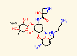 CN[C@@H]1[C@@H](O)[C@@H](O[C@@H]2[C@@H](O)[C@H](O[C@H]3OC(CNCCCN)=CC[C@H]3N)[C@@H](N)C[C@H]2NC(=O)C2(O)CNC2)OC[C@]1(C)O